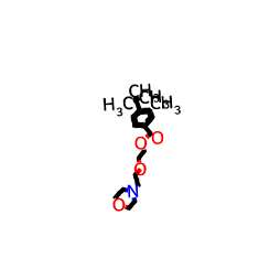 Cc1cc(C(=O)OCCOCCN2CCOCC2)ccc1C(C)(C)C